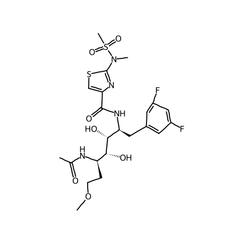 COCC[C@@H](NC(C)=O)[C@@H](O)[C@H](O)[C@H](Cc1cc(F)cc(F)c1)NC(=O)c1csc(N(C)S(C)(=O)=O)n1